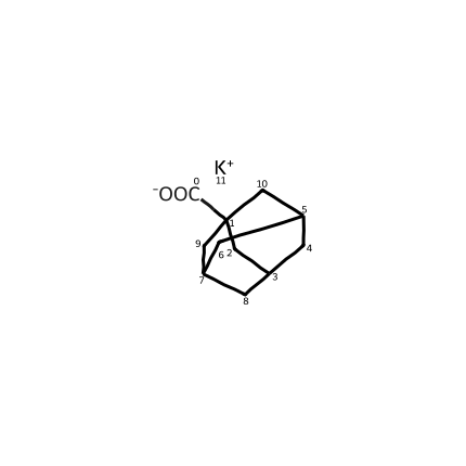 O=C([O-])C12CC3CC(CC(C3)C1)C2.[K+]